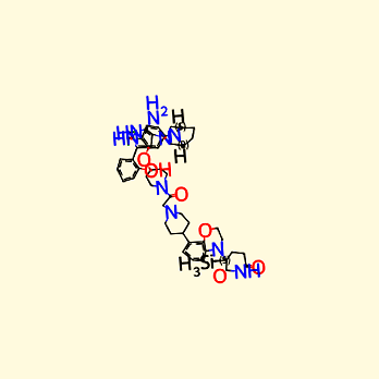 NC1=C(N2C[C@H]3CC[C@@H](C2)N3c2ccc(F)c(OC3CCN(C(=O)CN4CCC(c5cccc6c5OCCN6[C@]5([SiH3])CCC(=O)NC5=O)CC4)CC3)c2)C=C(c2ccccc2O)NN1